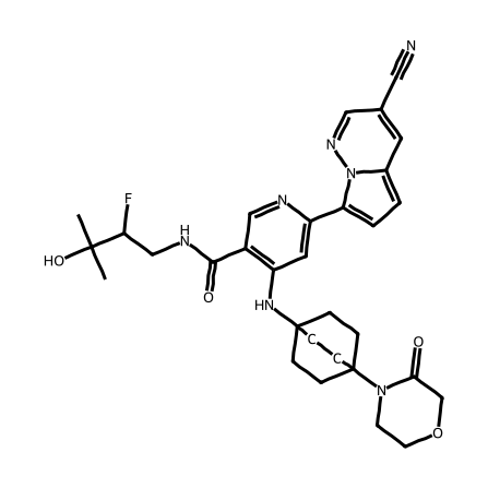 CC(C)(O)C(F)CNC(=O)c1cnc(-c2ccc3cc(C#N)cnn23)cc1NC12CCC(N3CCOCC3=O)(CC1)CC2